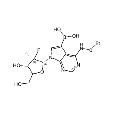 CCONc1ncnc2c1c(B(O)O)cn2[C@@H]1OC(CO)C(O)[C@@]1(C)F